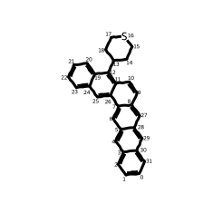 c1ccc2cc3cc4c(ccc5c(C6CCSCC6)c6ccccc6cc54)cc3cc2c1